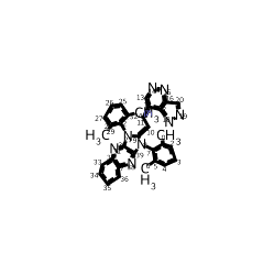 Cc1cccc(C)c1N1C(=C/C=c2/cnnc3c2=NN=C3)N(c2c(C)cccc2C)c2nc3ccccc3nc21